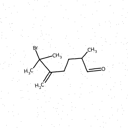 C=C(CCC(C)C=O)C(C)(C)Br